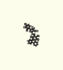 CC[C@@H](C(=O)OC1CCCCC1)N(OC[C@H]1O[C@@H](n2ccc(=O)[nH]c2=O)[C@](C)(F)[C@@H]1O)[PH](=O)Oc1ccccc1